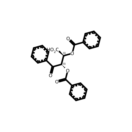 O=C(O[C@H](C(=O)O)[C@H](OC(=O)c1ccccc1)C(=O)c1ccccc1)c1ccccc1